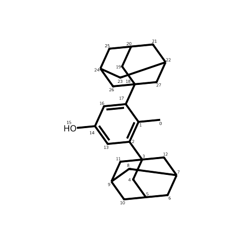 Cc1c(C23CC4CC(CC(C4)C2)C3)cc(O)cc1C12CC3CC(CC(C3)C1)C2